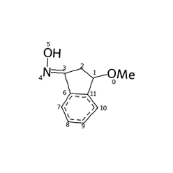 COC1C/C(=N\O)c2ccccc21